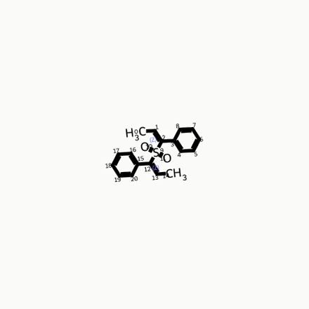 C/C=C(/c1ccccc1)S(=O)(=O)/C(=C\C)c1ccccc1